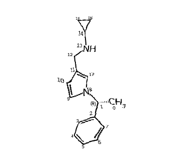 C[C@H](c1ccccc1)n1ccc(CNC2CC2)c1